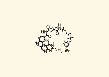 CC(C)c1cn(CC(C)(C)OCCC(C)(C)NC(=O)CCC(NC(=O)c2ccc(N(C)Cc3cnc4nc(N)nc(N)c4n3)cc2)C(=O)O)nn1